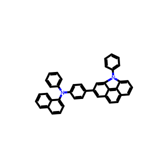 c1ccc(N(c2ccc(-c3cc4ccc5cccc6c5c4c(c3)n6-c3ccccc3)cc2)c2cccc3ccccc23)cc1